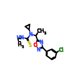 CNC(=S)N(C1CC1)C(C)c1nc(-c2cccc(Cl)c2)no1